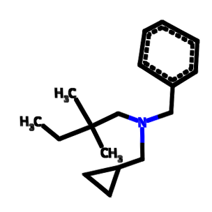 CCC(C)(C)CN(Cc1ccccc1)CC1CC1